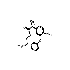 C=CCOC(=O)C(C)c1ccc([N+](=O)[O-])c(Oc2ccccc2)c1